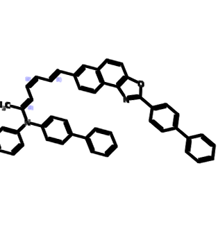 C\C(=C/C=C\C=C\c1ccc2c(ccc3oc(-c4ccc(-c5ccccc5)cc4)nc32)c1)N(c1ccccc1)c1ccc(-c2ccccc2)cc1